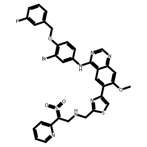 COc1cc2ncnc(Nc3ccc(OCc4cccc(F)c4)c(Br)c3)c2cc1-c1csc(CNCC(c2ccccn2)=S(=O)=O)n1